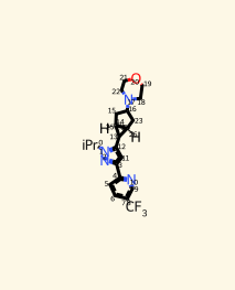 CC(C)n1nc(-c2ccc(C(F)(F)F)cn2)cc1C1[C@H]2CC(N3CCOCC3)C[C@@H]12